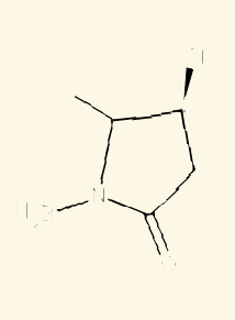 BN1C(=O)C[C@H](O)C1C